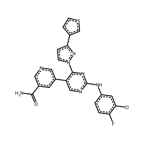 NC(=O)c1cncc(-c2cnc(Nc3ccc(F)c(Cl)c3)nc2-n2ccc(-c3ccsc3)n2)c1